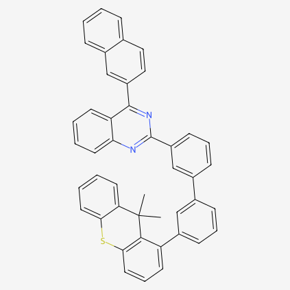 CC1(C)c2ccccc2Sc2cccc(-c3cccc(-c4cccc(-c5nc(-c6ccc7ccccc7c6)c6ccccc6n5)c4)c3)c21